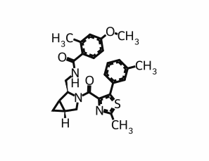 COc1ccc(C(=O)NC[C@@H]2C3C[C@H]3CN2C(=O)c2nc(C)sc2-c2cccc(C)c2)c(C)c1